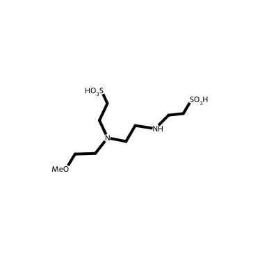 COCCN(CCNCCS(=O)(=O)O)CCS(=O)(=O)O